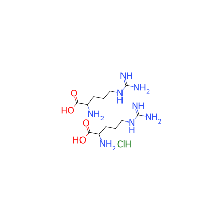 Cl.N=C(N)NCCCC(N)C(=O)O.N=C(N)NCCCC(N)C(=O)O